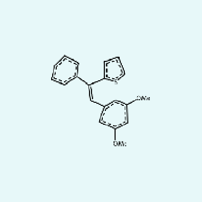 COc1cc(C=C(c2ccccc2)c2cccs2)cc(OC)c1